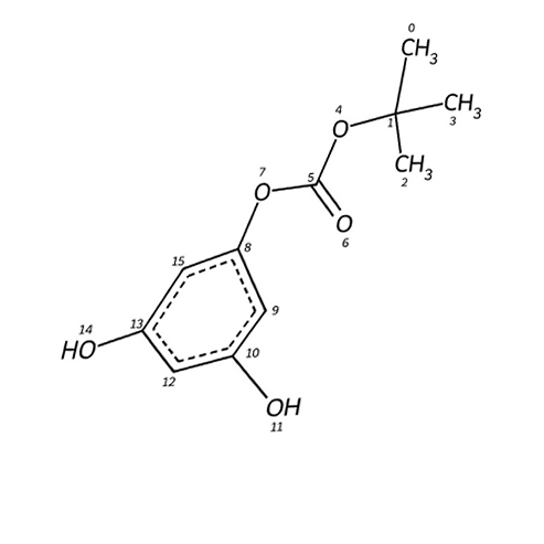 CC(C)(C)OC(=O)Oc1cc(O)cc(O)c1